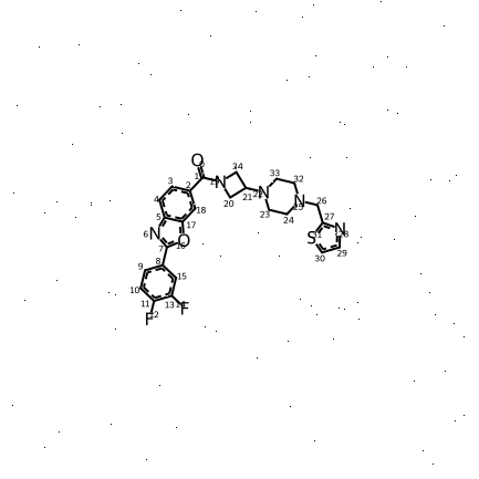 O=C(c1ccc2nc(-c3ccc(F)c(F)c3)oc2c1)N1CC(N2CCN(Cc3nccs3)CC2)C1